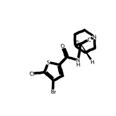 O=C(N[C@H]1CN2CCC1CC2)c1cc(Br)c(Cl)s1